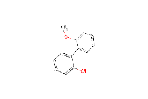 Oc1c[c]ccc1-c1ccccc1OC(F)(F)F